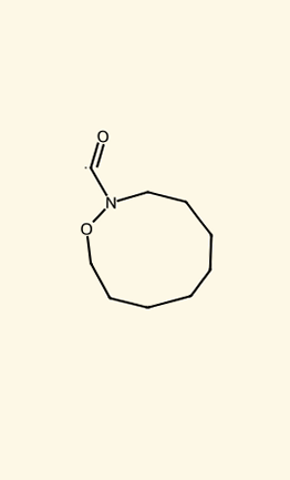 O=[C]N1CCCCCCCCO1